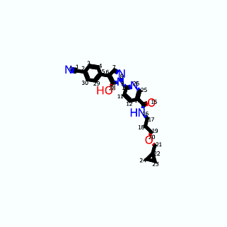 N#Cc1ccc(-c2cnn(-c3ccc(C(=O)NCCCOCC4CC4)cn3)c2O)cc1